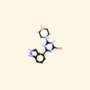 Oc1nc(-c2cccc3[nH]ncc23)nc(N2CCOCC2)n1